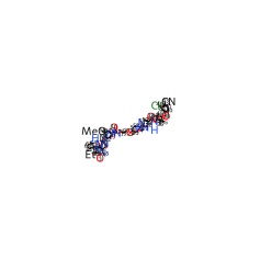 CC[C@@H]1C(=O)N(C)c2cnc(Nc3ccc(C(=O)NCCCOC4CCN(c5ncc(C(=O)NC6C(C)(C)C(Oc7ccc(C#N)c(Cl)c7)C6(C)C)cn5)CC4)cc3OC)nc2N1C1CCCC1